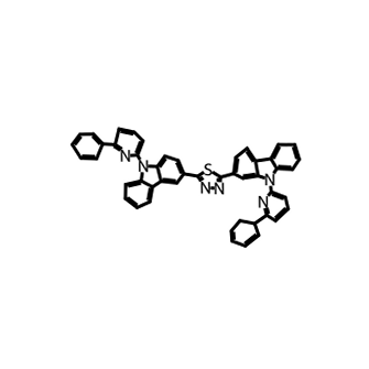 C1=CCC(c2cccc(-n3c4ccccc4c4ccc(-c5nnc(-c6ccc7c(c6)c6ccccc6n7-c6cccc(-c7ccccc7)n6)s5)cc43)n2)C=C1